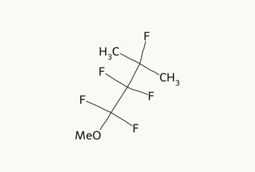 COC(F)(F)C(F)(F)C(C)(C)F